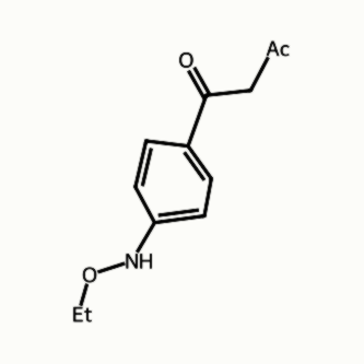 CCONc1ccc(C(=O)CC(C)=O)cc1